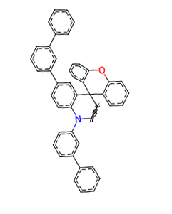 c1ccc(-c2cccc(-c3ccc4c(c3)C3(c5ccccc5Oc5ccccc53)c3ccccc3N4c3cccc(-c4ccccc4)c3)c2)cc1